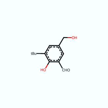 CC(C)(C)c1cc(CO)cc(C=O)c1O